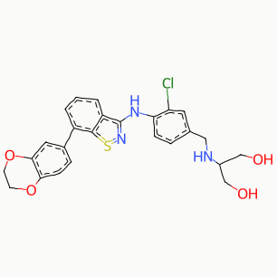 OCC(CO)NCc1ccc(Nc2nsc3c(-c4ccc5c(c4)OCCO5)cccc23)c(Cl)c1